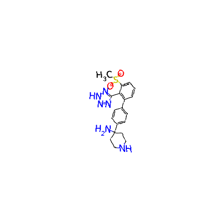 CS(=O)(=O)c1cccc(-c2ccc(C3(N)CCNCC3)cc2)c1-c1nn[nH]n1